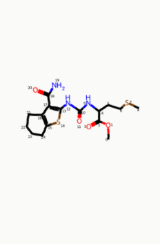 COC(=O)C(CCSC)NC(=O)Nc1sc2c(c1C(N)=O)CCCC2